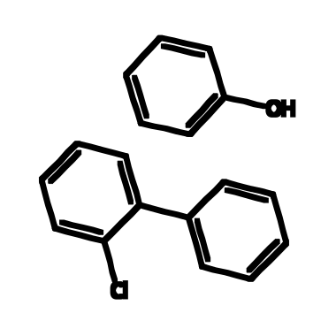 Clc1ccccc1-c1ccccc1.Oc1ccccc1